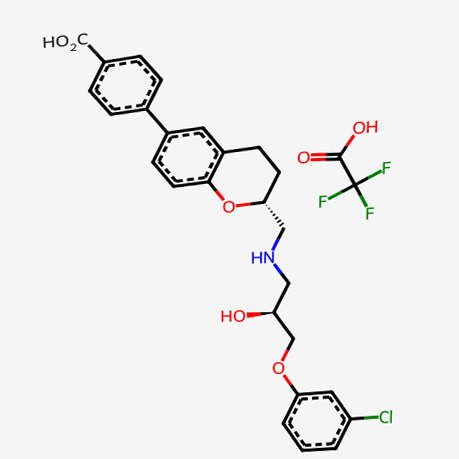 O=C(O)C(F)(F)F.O=C(O)c1ccc(-c2ccc3c(c2)CC[C@H](CNC[C@H](O)COc2cccc(Cl)c2)O3)cc1